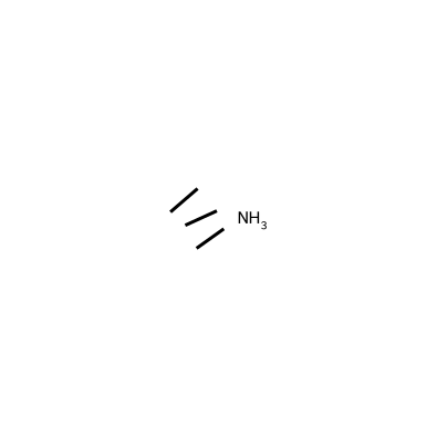 CC.CC.CC.N